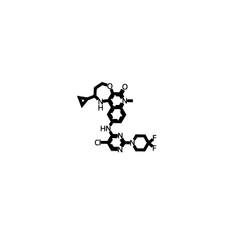 Cn1c(=O)c2c(c3cc(Nc4nc(N5CCC(F)(F)CC5)ncc4Cl)ccc31)NC(C1CC1)CCO2